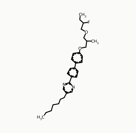 CCCCCCCc1cnc(-c2ccc(-c3ccc(OCC(C)COCC(F)CC)cc3)cc2)nc1